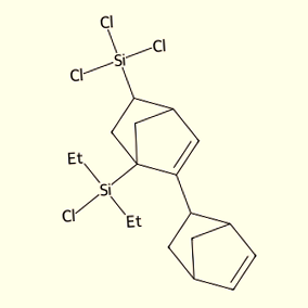 CC[Si](Cl)(CC)C12CC(C=C1C1CC3C=CC1C3)C([Si](Cl)(Cl)Cl)C2